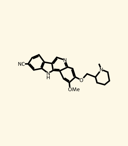 COc1cc2c(cc1OCC1CCCCN1C)ncc1c3ccc(C#N)cc3[nH]c21